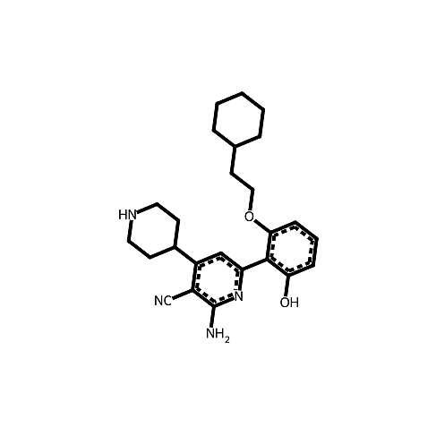 N#Cc1c(C2CCNCC2)cc(-c2c(O)cccc2OCCC2CCCCC2)nc1N